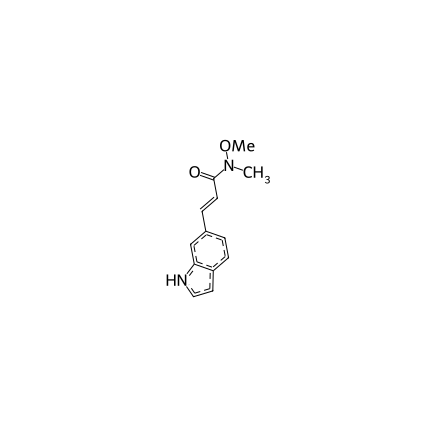 CON(C)C(=O)C=Cc1ccc2cc[nH]c2c1